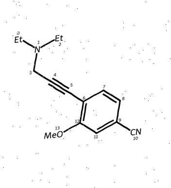 CCN(CC)CC#Cc1ccc(C#N)cc1OC